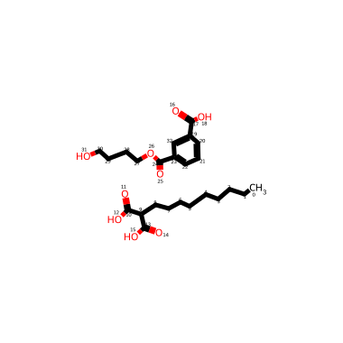 CCCCCCCCCC(C(=O)O)C(=O)O.O=C(O)c1cccc(C(=O)OCCCCO)c1